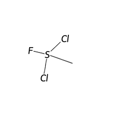 CS(F)(Cl)Cl